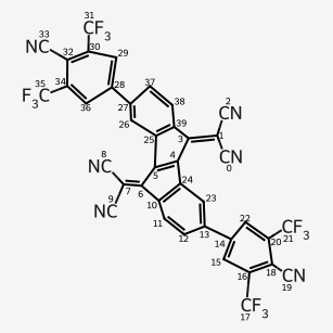 N#CC(C#N)=C1C2=C(C(=C(C#N)C#N)c3ccc(-c4cc(C(F)(F)F)c(C#N)c(C(F)(F)F)c4)cc32)c2cc(-c3cc(C(F)(F)F)c(C#N)c(C(F)(F)F)c3)ccc21